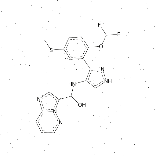 CSc1ccc(OC(F)F)c(-c2n[nH]cc2NC(O)c2cnc3cccnn23)c1